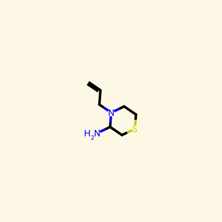 C=CCN1CCSCC1N